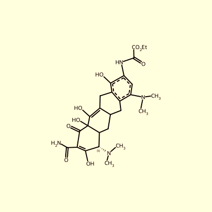 CCOC(=O)C(=O)Nc1cc(N(C)C)c2c(c1O)CC1=C(O)C3(O)C(=O)C(C(N)=O)=C(O)[C@@H](N(C)C)C3CC1C2